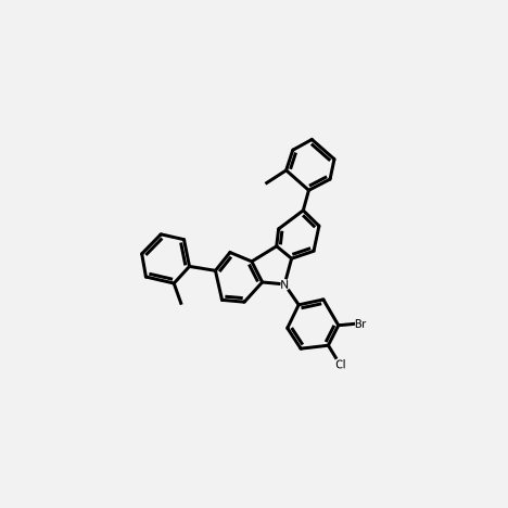 Cc1ccccc1-c1ccc2c(c1)c1cc(-c3ccccc3C)ccc1n2-c1ccc(Cl)c(Br)c1